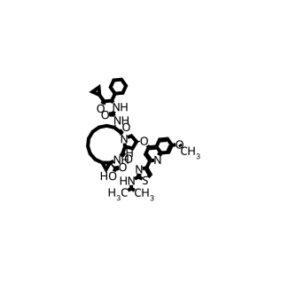 COc1ccc2c(O[C@@H]3C[C@H]4C(=O)N[C@]5(C(=O)O)CC5CCCCCCC[C@H](NC(=O)NC(C(=O)C5CC5)C5CCCCC5)C(=O)N4C3)cc(-c3csc(NC(C)C)n3)nc2c1